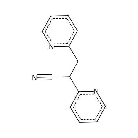 N#CC(Cc1ccccn1)c1ccccn1